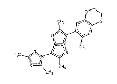 Cc1nc(C)n(-c2c(C)nn3c(-c4cc5c(cc4C)OCCO5)c(C)oc23)n1